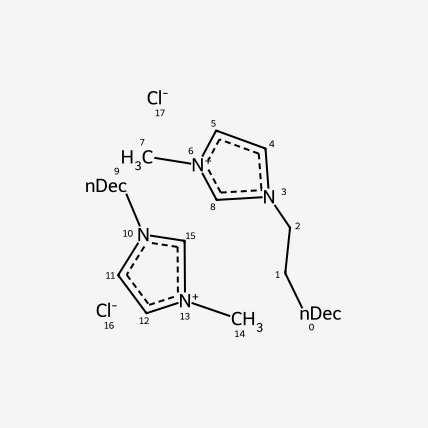 CCCCCCCCCCCCn1cc[n+](C)c1.CCCCCCCCCCn1cc[n+](C)c1.[Cl-].[Cl-]